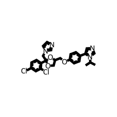 CC(C)n1cncc1-c1ccc(OCC2COC(Cn3ccnc3)(c3ccc(Cl)cc3Cl)O2)cc1